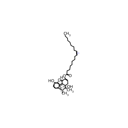 CCCCCCCC/C=C\CCCCCCCC(=O)OC1=CC[C@@]2(O)[C@@H](C)N(C)C3C[C@@]24c2c3ccc(O)c2O[C@@H]14